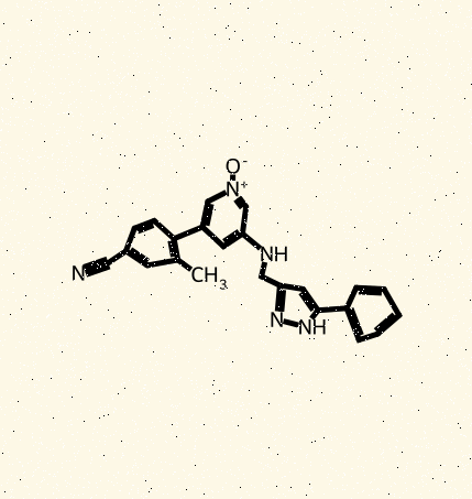 Cc1cc(C#N)ccc1-c1cc(NCc2cc(-c3ccccc3)[nH]n2)c[n+]([O-])c1